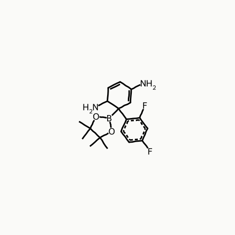 CC1(C)OB(C2(c3ccc(F)cc3F)C=C(N)C=CC2N)OC1(C)C